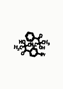 CC(C)(O)C(=O)c1ccccc1.CC(C)c1ccc(C(=O)C(C)(C)O)cc1